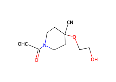 N#CC1(OCCO)CCN(C(=O)C=O)CC1